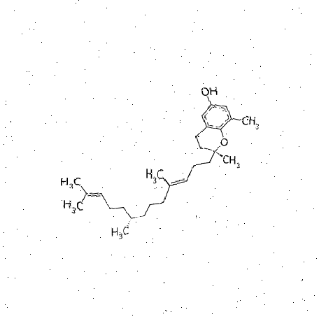 CC(C)=CCC[C@@H](C)CCC/C(C)=C/CC[C@]1(C)CCc2cc(O)cc(C)c2O1